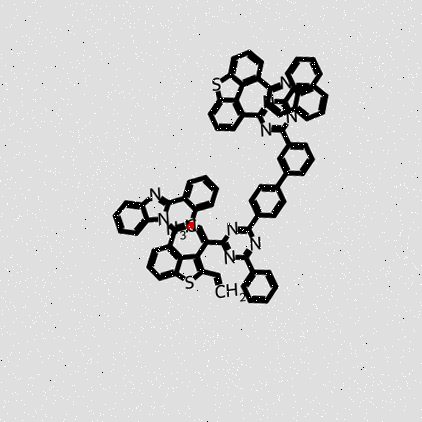 C=Cc1sc2cccc(-c3nc4ccccc4c4nc5ccccc5n34)c2c1/C(=C\C)c1nc(-c2ccccc2)nc(-c2ccc(-c3cccc(-c4nc(-c5ccccc5)nc(-c5cccc6sc7cccc(-c8ccc9ccccc9n8)c7c56)n4)c3)cc2)n1